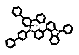 CC1(N(c2ccc(-c3ccccc3)cc2)c2cccc(-c3cccc4c3c3ccccc3n4-c3ccccc3)c2)C=CC(c2ccccc2)=CC1c1ccccc1